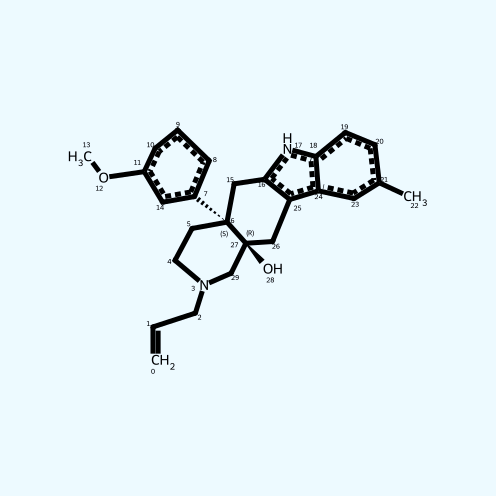 C=CCN1CC[C@@]2(c3cccc(OC)c3)Cc3[nH]c4ccc(C)cc4c3C[C@]2(O)C1